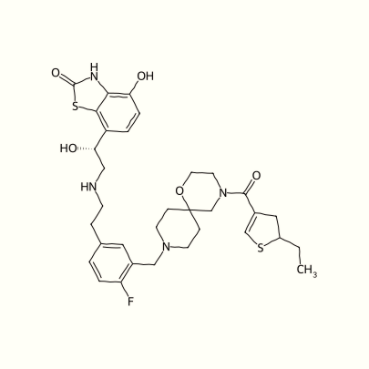 CCC1CC(C(=O)N2CCOC3(CCN(Cc4cc(CCNC[C@H](O)c5ccc(O)c6[nH]c(=O)sc56)ccc4F)CC3)C2)=CS1